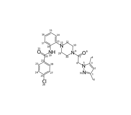 Cc1cc(C)n(CC(=O)N2CCN(c3ccccc3NC(=O)c3ccc(Cl)cc3)CC2)n1